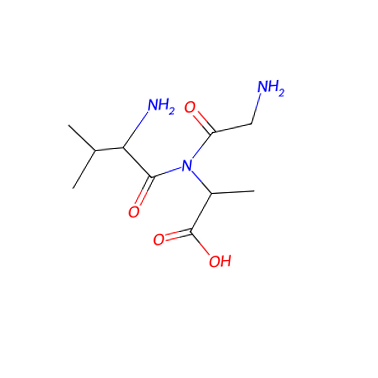 CC(C)C(N)C(=O)N(C(=O)CN)C(C)C(=O)O